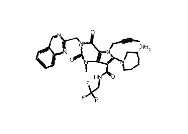 CC#CCn1c(N2CCC[C@@H](N)C2)c(C(=O)NCC(F)(F)F)c2c1c(=O)n(Cc1ncc3ccccc3n1)c(=O)n2C